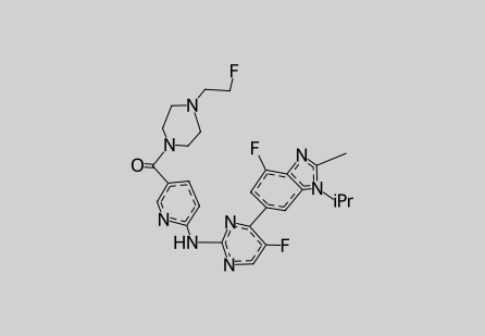 Cc1nc2c(F)cc(-c3nc(Nc4ccc(C(=O)N5CCN(CCF)CC5)cn4)ncc3F)cc2n1C(C)C